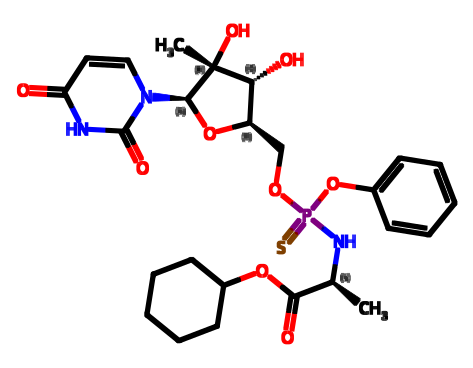 C[C@H](NP(=S)(OC[C@H]1O[C@@H](n2ccc(=O)[nH]c2=O)[C@](C)(O)[C@@H]1O)Oc1ccccc1)C(=O)OC1CCCCC1